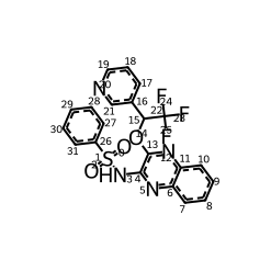 O=S(=O)(Nc1nc2ccccc2nc1OC(c1cccnc1)C(F)(F)F)c1ccccc1